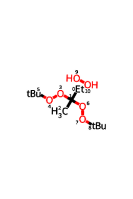 CCC(C)(OOC(C)(C)C)OOC(C)(C)C.OO